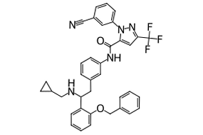 N#Cc1cccc(-n2nc(C(F)(F)F)cc2C(=O)Nc2cccc(CC(NCC3CC3)c3ccccc3OCc3ccccc3)c2)c1